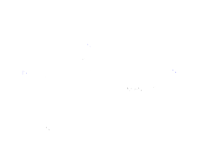 CNC(=O)c1cc(Oc2ccc(NC(=O)C=Cc3c[nH]c4ccc(C#N)cc34)cc2)ccn1